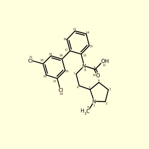 CN1CCCC1CCN(C(=O)O)c1ccccc1-c1cc(Cl)cc(Cl)c1